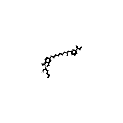 C=CCCC(C=O)N1Cc2cc(CCCCCCCNCc3cccc(C(=C)CC)n3)ccc2C1=C